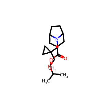 COC(=O)C1CC2CCC(C1)N2CC1(COC(C)C)CC1